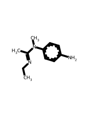 CCN=C(C)N(C)c1ccc(N)cc1